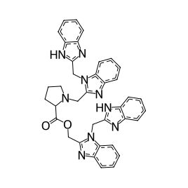 O=C(OCc1nc2ccccc2n1Cc1nc2ccccc2[nH]1)C1CCCN1Cc1nc2ccccc2n1Cc1nc2ccccc2[nH]1